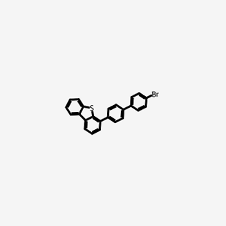 Brc1ccc(-c2ccc(-c3cccc4c3sc3ccccc34)cc2)cc1